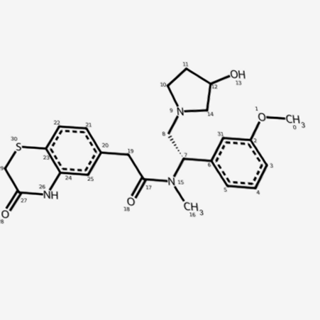 COc1cccc([C@@H](CN2CCC(O)C2)N(C)C(=O)Cc2ccc3c(c2)NC(=O)CS3)c1